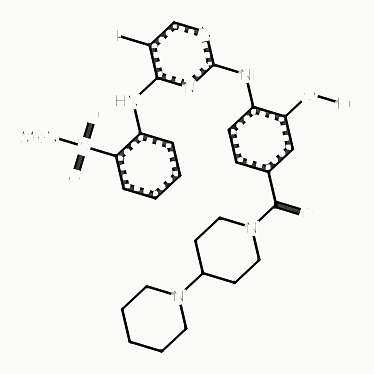 CCOc1cc(C(=O)N2CCC(N3CCCCC3)CC2)ccc1Nc1ncc(I)c(Nc2ccccc2S(=O)(=O)NC)n1